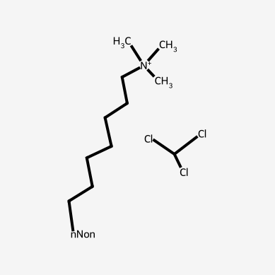 CCCCCCCCCCCCCCCC[N+](C)(C)C.ClC(Cl)Cl